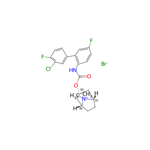 C[N+]1(C)[C@@H]2CC[C@H]1C[C@@H](OC(=O)Nc1ccc(F)cc1-c1ccc(F)c(Cl)c1)C2.[Br-]